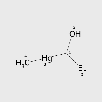 CC[CH](O)[Hg][CH3]